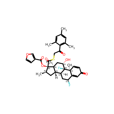 Cc1cc(C)c(C(=O)CSC(=O)[C@@]2(OC(=O)c3ccoc3)[C@H](C)C[C@H]3[C@@H]4C[C@H](F)C5=CC(=O)C=C[C@]5(C)[C@@]4(F)[C@@H](O)C[C@@]32C)c(C)c1